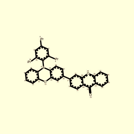 CC(C)c1cc(C(C)C)c(B2c3ccccc3Oc3cc(-c4ccc5c(=O)c6ccccc6oc5c4)ccc32)c(C(C)C)c1